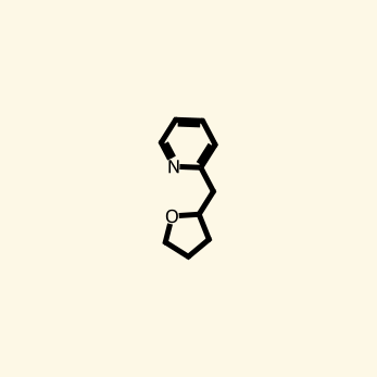 c1ccc(CC2CCCO2)nc1